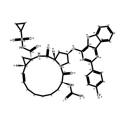 NC(=S)N[C@H]1CCCCC/C=C\[C@@H]2C[C@@]2(C(=O)NS(=O)(=O)C2CC2)NC(=O)[C@@H]2C[C@@H](Oc3nc(-c4ccc(C(F)(F)F)cc4)nc4c3oc3ccccc34)CN2C1=O